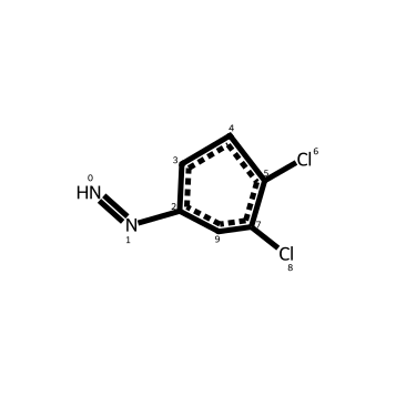 N=Nc1ccc(Cl)c(Cl)c1